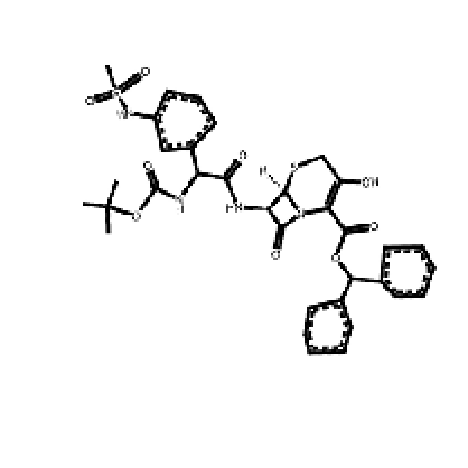 CC(C)(C)OC(=O)NC(C(=O)N[C@@H]1C(=O)N2C(C(=O)OC(c3ccccc3)c3ccccc3)=C(O)CS[C@H]12)c1cccc(NS(C)(=O)=O)c1